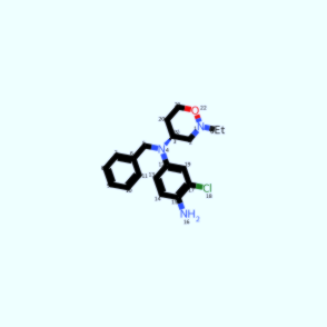 CCN1C[C@@H](N(Cc2ccccc2)c2ccc(N)c(Cl)c2)CCO1